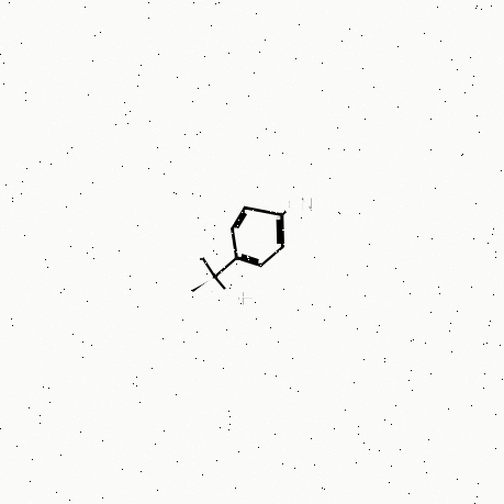 C[C@@](O)(I)c1ccc(C#N)cc1